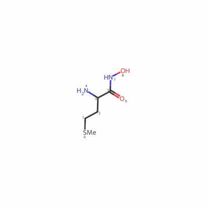 CSCCC(N)C(=O)NO